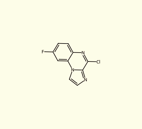 Fc1ccc2nc(Cl)c3nccn3c2c1